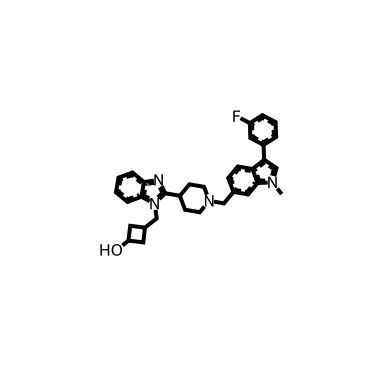 Cn1cc(-c2cccc(F)c2)c2ccc(CN3CCC(c4nc5ccccc5n4CC4CC(O)C4)CC3)cc21